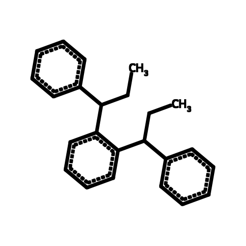 CCC(c1ccccc1)c1ccccc1C(CC)c1ccccc1